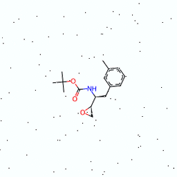 Cc1cccc(C[C@H](NC(=O)OC(C)(C)C)[C@H]2CO2)c1